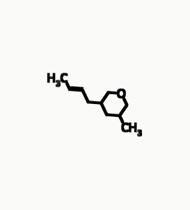 CC=CCC1COCC(C)C1